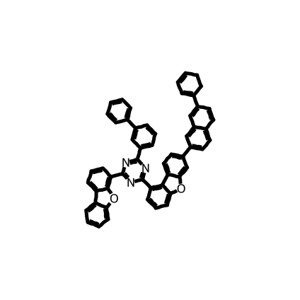 C1=CCCC(c2ccc3ccc(-c4ccc5c(c4)oc4cccc(-c6nc(-c7cccc(-c8ccccc8)c7)nc(-c7cccc8c7oc7ccccc78)n6)c45)cc3c2)=C1